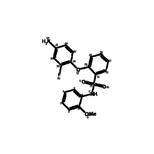 COc1ccccc1NS(=O)(=O)c1ccccc1Oc1ccc(N)cc1F